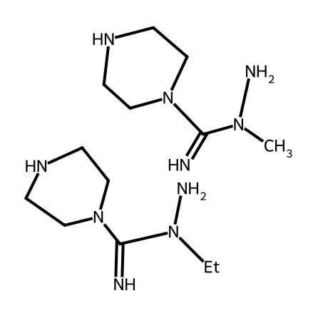 CCN(N)C(=N)N1CCNCC1.CN(N)C(=N)N1CCNCC1